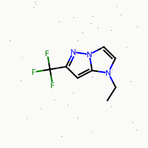 CCn1ccn2nc(C(F)(F)F)cc12